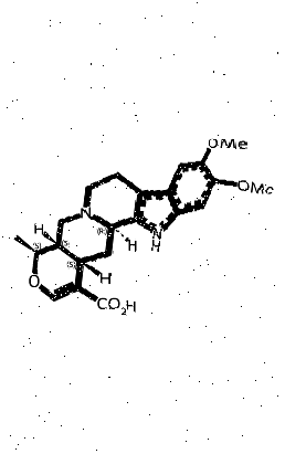 COc1cc2[nH]c3c(c2cc1OC)CCN1C[C@H]2[C@H](C)OC=C(C(=O)O)[C@H]2C[C@H]31